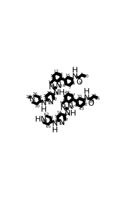 C=CC(=O)Nc1cccc(-c2cccc3cnc(Nc4ccc(NC5CCN(C)CC5)nc4)nc23)c1.C=CC(=O)Nc1cccc(-c2cccc3cnc(Nc4ccc(NC5CCNCC5)nc4)nc23)c1